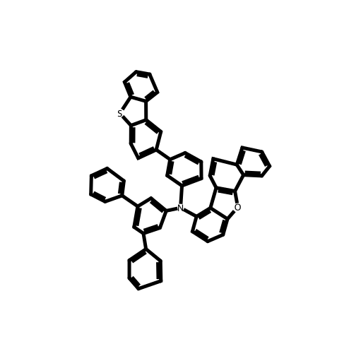 c1ccc(-c2cc(-c3ccccc3)cc(N(c3cccc(-c4ccc5sc6ccccc6c5c4)c3)c3cccc4oc5c6ccccc6ccc5c34)c2)cc1